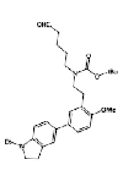 CCN1CCc2cc(-c3ccc(OC)c(CCN(CCCCC=O)C(=O)OC(C)(C)C)c3)ccc21